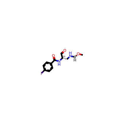 COBNC[C@@H](C=O)NC(=O)c1ccc(I)cc1